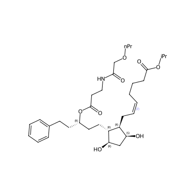 CCCOCC(=O)NCCC(=O)O[C@@H](CCc1ccccc1)CC[C@@H]1[C@@H](C/C=C\CCCC(=O)OC(C)C)[C@@H](O)C[C@H]1O